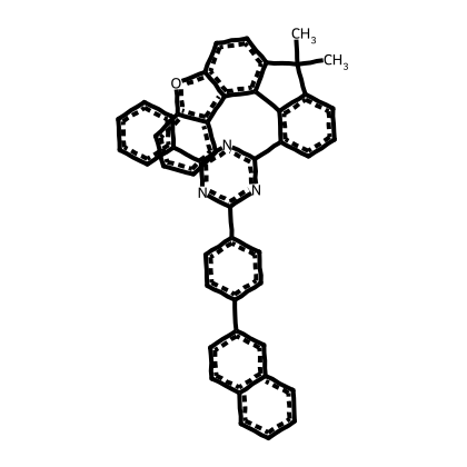 CC1(C)c2cccc(-c3nc(-c4ccccc4)nc(-c4ccc(-c5ccc6ccccc6c5)cc4)n3)c2-c2c1ccc1oc3ccccc3c21